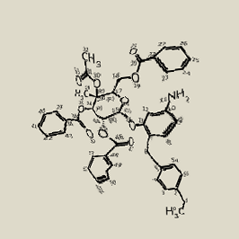 CCc1ccc(Cc2ccc(N)cc2O[C@@H]2O[C@H](COC(=O)c3ccccc3)[C@@](C)(OC(C)=O)[C@H](OC(=O)c3ccccc3)[C@H]2OC(=O)c2ccccc2)cc1